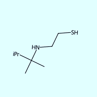 CC(C)C(C)(C)NCCS